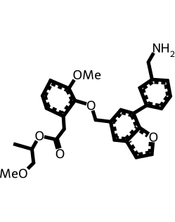 COCC(C)OC(=O)Cc1cccc(OC)c1OCc1cc(-c2cccc(CN)c2)c2occc2c1